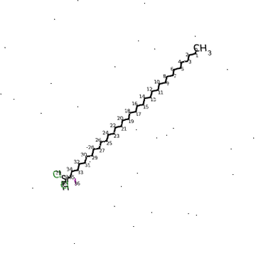 CCCCCCCCCCCCCCCCCCCCCCCCCCCCCCCCCCC[C@H](I)[SiH](Cl)Cl